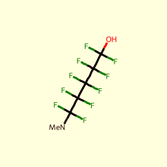 CNC(F)(F)C(F)(F)C(F)(F)C(F)(F)C(O)(F)F